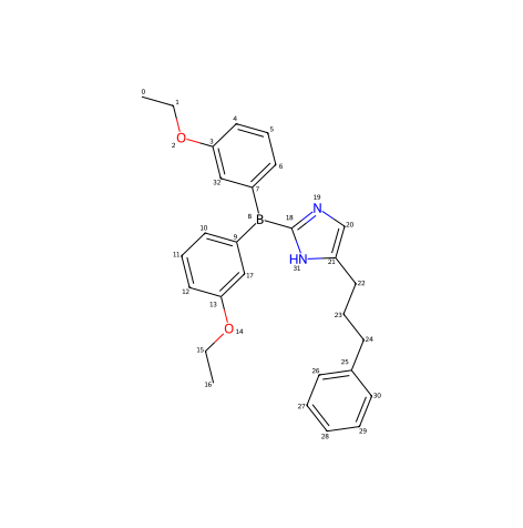 CCOc1cccc(B(c2cccc(OCC)c2)c2ncc(CCCc3ccccc3)[nH]2)c1